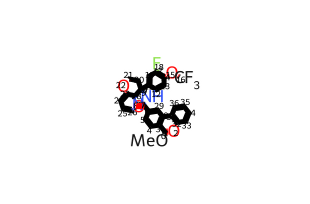 COC(=O)c1ccc(C(=O)N[C@]2(c3ccc(OC(F)(F)F)c(F)c3)CCOc3cccnc32)cc1-c1ccccc1